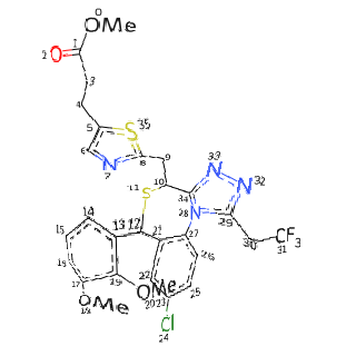 COC(=O)CCc1cnc(CC2SC(c3cccc(OC)c3OC)c3cc(Cl)ccc3-n3c(CC(F)(F)F)nnc32)s1